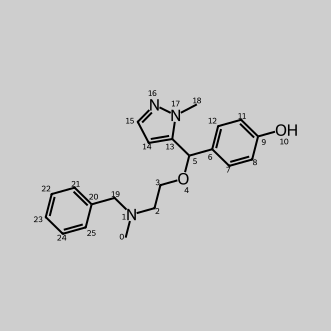 CN(CCOC(c1ccc(O)cc1)c1ccnn1C)Cc1ccccc1